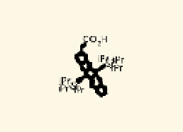 CC(C)[Si](C#Cc1c2cc3ccccc3cc2c(C#C[Si](C(C)C)(C(C)C)C(C)C)c2cc3cc(C=CC(=O)O)ccc3cc12)(C(C)C)C(C)C